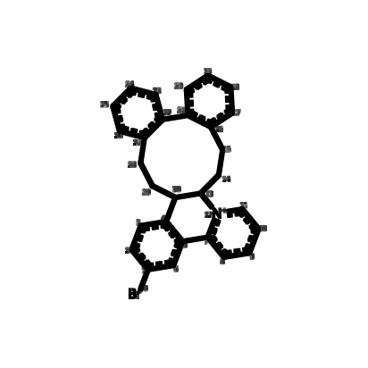 Brc1ccc2c(c1)-c1cccc[n+]1C1CCc3ccccc3-c3ccccc3CCC21